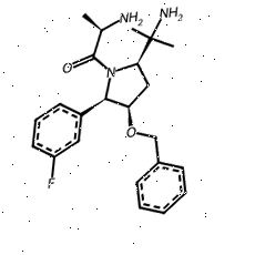 C[C@@H](N)C(=O)N1[C@H](c2cccc(F)c2)[C@H](OCc2ccccc2)C[C@@H]1C(C)(C)N